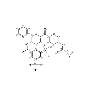 C[C@@H](O[C@H]1CCN(C(=O)C2CCC(NC(=O)C3CC3)CC2)C[C@H]1c1ccccc1)c1cc(C(F)(F)F)cc(C(F)(F)F)c1